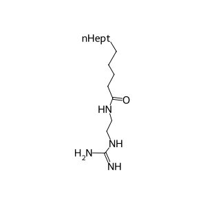 CCCCCCCCCCCC(=O)NCCNC(=N)N